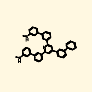 CNc1cccc(-c2cccc(-c3cc(-c4cccc(-c5ccccc5)c4)cc(-c4cccc(-c5cccc(NC)c5)c4)n3)c2)c1